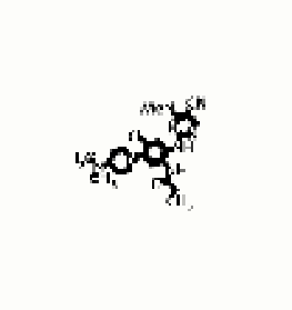 C=CC(=O)Nc1cc(N2CCC(N(C)C)CC2)c(Cl)cc1Nc1ncc(C#N)c(NC)n1